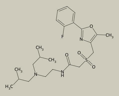 Cc1oc(-c2ccccc2F)nc1CS(=O)(=O)CC(=O)NCCN(CC(C)C)CC(C)C